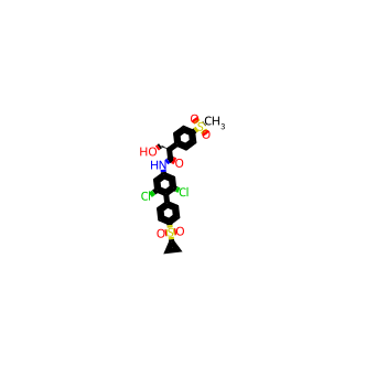 CS(=O)(=O)c1ccc([C@@H](CO)C(=O)Nc2cc(Cl)c(-c3ccc(S(=O)(=O)C4CC4)cc3)c(Cl)c2)cc1